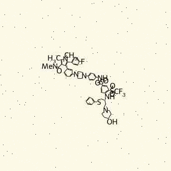 CNC(=O)c1c(-c2cccc(N3CCN(c4ccc(NS(=O)(=O)c5ccc(NC(CCN6CCC(O)CC6)CSc6ccccc6)c(S(=O)(=O)C(F)(F)F)c5)cc4)CC3)c2)c(-c2ccc(F)cc2)n(C)c1C